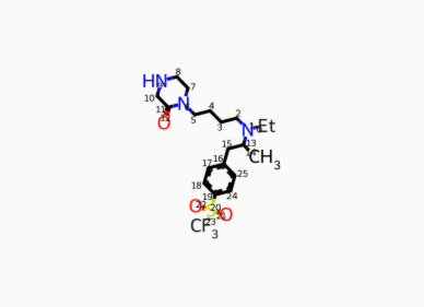 CCN(CCCCN1CCNCC1=O)C(C)Cc1ccc(S(=O)(=O)C(F)(F)F)cc1